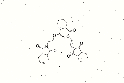 O=C(OCCN1C(=O)C2CC=CCC2C1=O)C1CCCCC1C(=O)OCCN1C(=O)C2CC=CCC2C1=O